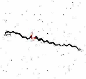 CCCCCC/C=C\CCCCCCCC(=O)OCCCCCCCCCCCCCCCC(C)C